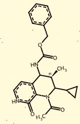 CC(=O)N1c2c(cc[nH]c2=O)C(NC(=O)OCc2ccccc2)[C@@H](C)C1C1CC1